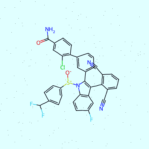 N#Cc1cccc(C#N)c1-c1c(-c2cccc(-c3ccc(C(N)=O)cc3Cl)c2)n([S+]([O-])c2ccc(C(F)F)cc2)c2ccc(F)cc12